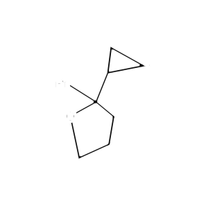 CC(C)C1(C2CC2)CCCO1